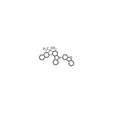 CC1(C)c2cc3ccccc3cc2-c2c1ccc1c2c2ccccc2n1-c1ccc2oc3ccccc3c2c1